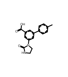 Cc1ccc(-c2cc(C(=O)O)cc(N3CCNC3=O)c2)cc1